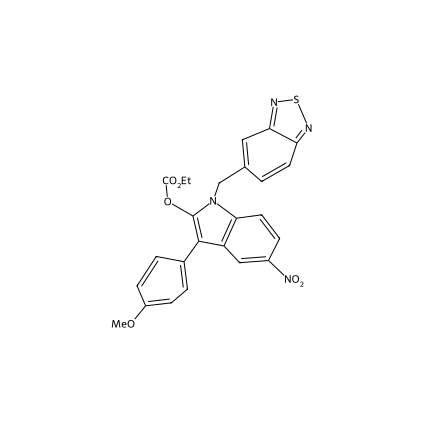 CCOC(=O)Oc1c(-c2ccc(OC)cc2)c2cc([N+](=O)[O-])ccc2n1Cc1ccc2nsnc2c1